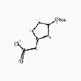 COC1CCC(CC(=O)Cl)C1